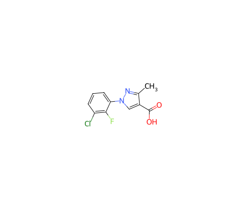 Cc1nn(-c2cccc(Cl)c2F)cc1C(=O)O